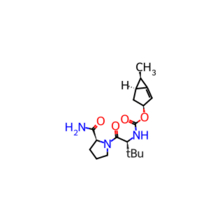 C[C@H]1C2=C[C@@H](OC(=O)N[C@H](C(=O)N3CCC[C@H]3C(N)=O)C(C)(C)C)C[C@H]21